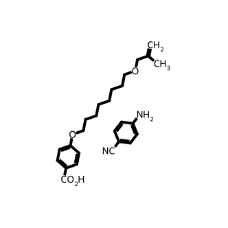 C=C(C)COCCCCCCCCOc1ccc(C(=O)O)cc1.N#Cc1ccc(N)cc1